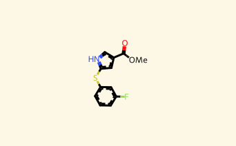 COC(=O)c1c[nH]c(Sc2cccc(F)c2)c1